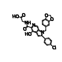 O=C(O)CNC(=O)c1ncc2c(cc(-c3ccc(Cl)cc3)n2Cc2ccc3c(c2)OCO3)c1O